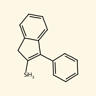 [SiH3]C1=C(c2ccccc2)c2ccccc2C1